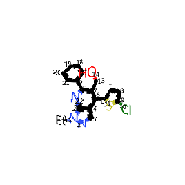 CCn1ncc2c(-c3ccc(Cl)s3)c(CO)c(-c3ccccc3)nc21